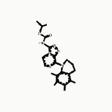 Cc1c(C)c(C)c2c(c1C)CCCN2c1nccn2c(NC(=O)OC(C)C)nnc12